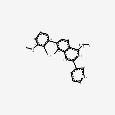 CNc1nc(-c2cccnc2)nc2c(F)c(-c3cccc(OC)c3F)ccc12